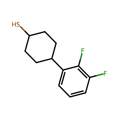 Fc1cccc(C2CCC(S)CC2)c1F